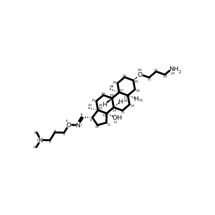 CN(C)CCCO/N=C/[C@H]1CC[C@]2(O)[C@@H]3CC[C@@H]4C[C@@H](OCCCN)CC[C@]4(C)[C@H]3CC[C@]12C